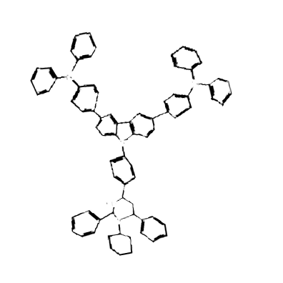 c1ccc(C2CC(c3ccc(-n4c5ccc(-c6ccc(N(c7ccccc7)c7ccccc7)cc6)cc5c5cc(-c6ccc(N(c7ccccc7)c7ccccc7)cc6)ccc54)cc3)NC(c3ccccc3)N2C2CCCCC2)cc1